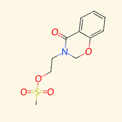 CS(=O)(=O)OCCN1COc2ccccc2C1=O